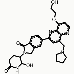 O=C1CCC(N2Cc3cc(-c4cc(CN5CCCC5)c5nccc(OCCO)c5n4)ccc3C2=O)C(O)N1